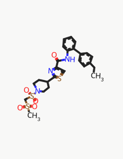 CCc1ccc(-c2ccccc2NC(=O)c2csc(C3CCN(S(=O)(=O)CS(C)(=O)=O)CC3)n2)cc1